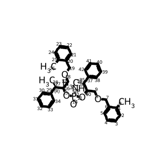 Cc1ccccc1COCC(OP(N)(=O)OC(COCc1ccccc1C)[C@H](C)c1ccccc1)[C@H](C)c1ccccc1